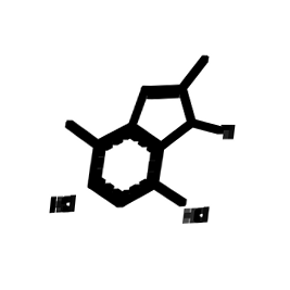 CC1=Cc2c(C)ccc(C)c2[CH]1[Ti].Cl.Cl